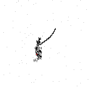 CCCCCCCCCCCCCCCCCCOC[C@H](COP(=O)(O)OC[C@@](C#N)(OC)[C@H]1OC(C)(C)O[C@H]1c1ccc2c(N)ncnn12)Oc1ccc(C#N)nc1